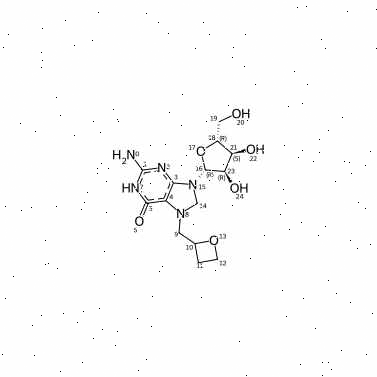 Nc1nc2c(c(=O)[nH]1)N(CC1CCO1)CN2[C@@H]1O[C@H](CO)[C@@H](O)[C@H]1O